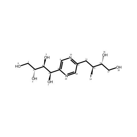 OC[C@@H](O)[C@@H](O)[C@H](O)c1cnc(C[C@H](F)[C@H](O)CO)cn1